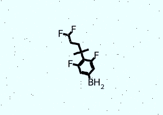 Bc1cc(F)c(C(C)(C)CCC(F)F)c(F)c1